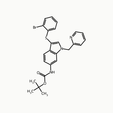 CC(C)(C)OC(=O)Nc1ccc2c(Sc3ccccc3Br)cn(Cc3ccccn3)c2c1